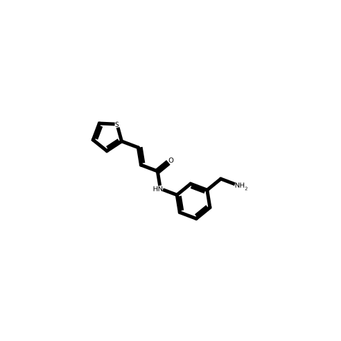 NCc1cccc(NC(=O)C=Cc2cccs2)c1